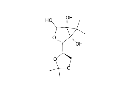 CC1(C)OC[C@H]([C@@H]2OC(O)[C@@]3(O)C(C)(C)[C@@]23O)O1